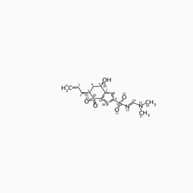 C=CC[C@H]1C[C@@H](O)c2cc(S(=O)(=O)N=CN(C)C)sc2S1(=O)=O